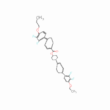 CCCOc1ccc(C2CCC(C(=O)OC3CCC(C4CCC(c5ccc(OCC)c(F)c5F)CC4)CC3)CC2)c(F)c1F